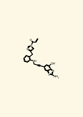 C=CC(=O)n1cnc(Cc2ccccc2NCC#Cc2cc(O)c3nc(N)sc3c2)c1